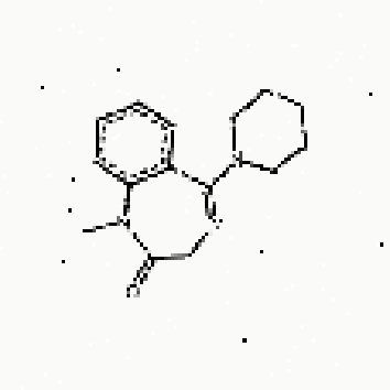 CN1C(=O)CN=C(N2CCCCC2)c2ccccc21